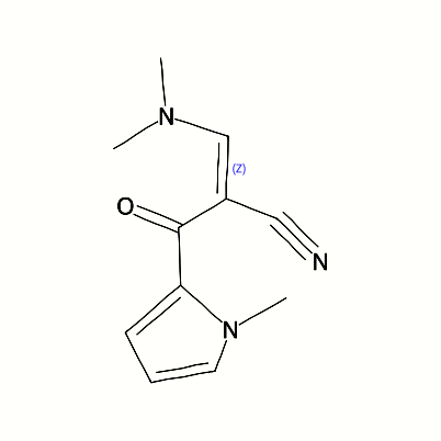 CN(C)/C=C(/C#N)C(=O)c1cccn1C